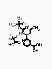 C=CC[C@H](NC(=O)OC(C)(C)C)c1cc(B(O)O)ccn1.O=C(O)C(F)(F)F